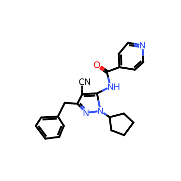 N#Cc1c(Cc2ccccc2)nn(C2CCCC2)c1NC(=O)c1ccncc1